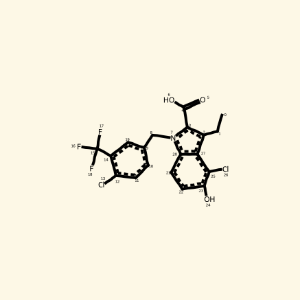 CCc1c(C(=O)O)n(Cc2ccc(Cl)c(C(F)(F)F)c2)c2ccc(O)c(Cl)c12